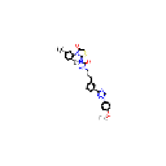 CCc1ccc(C)cc1N1C(=O)CS/C1=N\C(=O)NCCCc1cccc(-c2ncn(-c3ccc(OC(F)(F)F)cc3)n2)c1